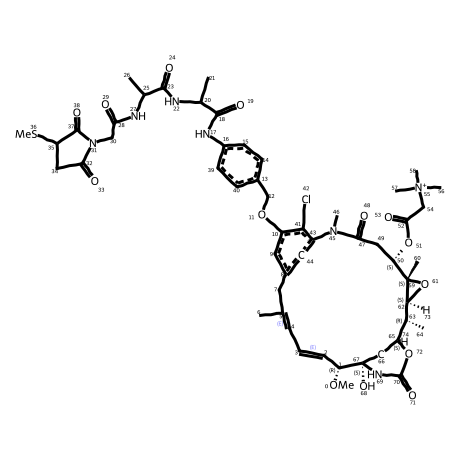 CO[C@@H]1/C=C/C=C(\C)Cc2cc(OCc3ccc(NC(=O)C(C)NC(=O)C(C)NC(=O)CN4C(=O)CC(SC)C4=O)cc3)c(Cl)c(c2)N(C)C(=O)C[C@H](OC(=O)C[N+](C)(C)C)[C@]2(C)O[C@H]2[C@H](C)[C@@H]2C[C@@]1(O)NC(=O)O2